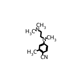 Cc1cc(N(C)CCN(C)C)ccc1C#N